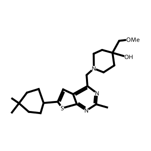 COCC1(O)CCN(Cc2nc(C)nc3sc(C4CCC(C)(C)CC4)cc23)CC1